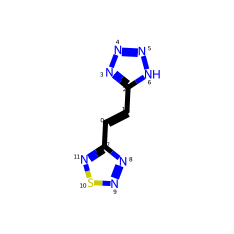 C(=Cc1nnn[nH]1)c1nnsn1